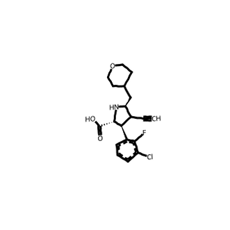 C#CC1[C@H](CC2CCOCC2)N[C@@H](C(=O)O)[C@@H]1c1cccc(Cl)c1F